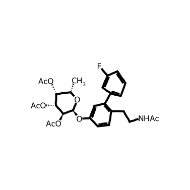 CC(=O)NCCc1ccc(O[C@@H]2O[C@@H](C)[C@@H](OC(C)=O)[C@@H](OC(C)=O)[C@@H]2OC(C)=O)cc1-c1cccc(F)c1